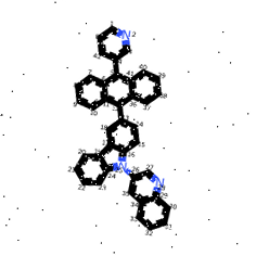 c1cncc(-c2c3ccccc3c(-c3ccc4c(c3)c3ccccc3n4-c3cnc4ccccc4c3)c3ccccc23)c1